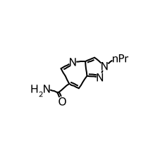 CCCn1cc2ncc(C(N)=O)cc2n1